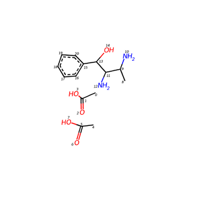 CC(=O)O.CC(=O)O.CC(N)C(N)C(O)c1ccccc1